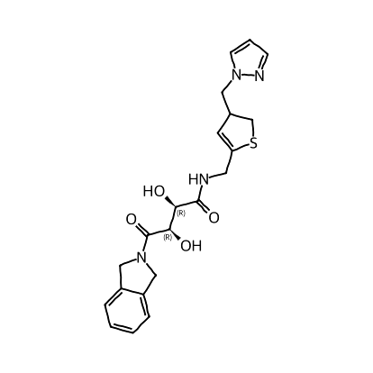 O=C(NCC1=CC(Cn2cccn2)CS1)[C@H](O)[C@@H](O)C(=O)N1Cc2ccccc2C1